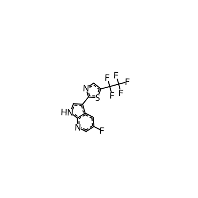 Fc1cnc2[nH]cc(-c3ncc(C(F)(F)C(F)(F)F)s3)c2c1